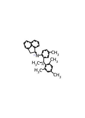 Cc1cc(C)c([C@@H](C)c2cc(C)ccc2/N=C2/Cc3cccc4cccc2c34)c(C)c1